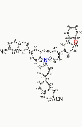 N#Cc1ccc2ccc(-c3ccc(N(c4ccc(-c5ccc6ccc(C#N)cc6c5)cc4)c4ccc(-c5ccc6oc7ccccc7c6c5)cc4)cc3)cc2c1